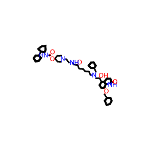 O=C(CCCCCN(Cc1ccccc1)CC(O)c1ccc(OCc2ccccc2)c2[nH]c(=O)ccc12)CNCCN1CCC(OC(=O)Nc2ccccc2-c2ccccc2)CC1